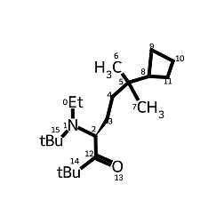 CCN([C@@H](CCC(C)(C)C1CCC1)C(=O)C(C)(C)C)C(C)(C)C